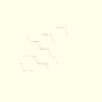 COc1cc(CN(C)C)cc2[nH]c(=O)c3c(c12)NCCC3.Cl.Cl